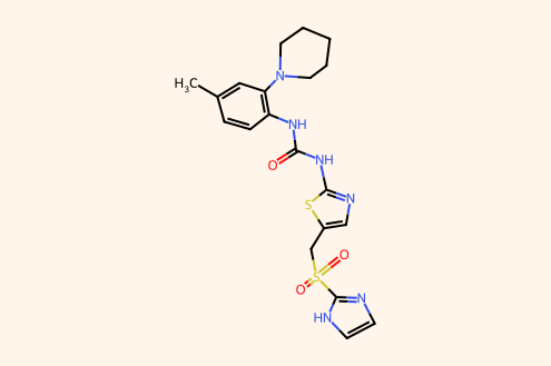 Cc1ccc(NC(=O)Nc2ncc(CS(=O)(=O)c3ncc[nH]3)s2)c(N2CCCCC2)c1